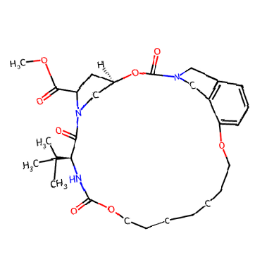 COC(=O)C1C[C@@H]2CN1C(=O)[C@H](C(C)(C)C)NC(=O)OCCCCCCCOc1cccc3c1CN(C3)C(=O)O2